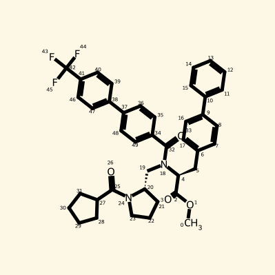 COC(=O)[C@H](Cc1ccc(-c2ccccc2)cc1)N(C[C@@H]1CCCN1C(=O)C1CCCC1)C(=O)c1ccc(-c2ccc(C(F)(F)F)cc2)cc1